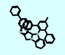 CC1=CC(c2ccccc2)=C(N2C3=C(CCC=C3)N3Cc4sc5cc(C6=CC=CCC6)ccc5c4C32)C(C2C=CC=CC2)C1